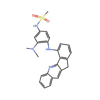 CN(C)c1cc(NS(C)(=O)=O)ccc1Nc1cccc2c1-c1nc3ccccc3cc1C2